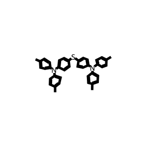 Cc1ccc(N(c2ccc(C)cc2)c2ccc(Sc3ccc(N(c4ccc(C)cc4)c4ccc(C)cc4)cc3)cc2)cc1